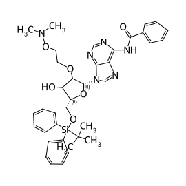 CN(C)OCCOC1C(O)[C@@H](CO[Si](c2ccccc2)(c2ccccc2)C(C)(C)C)O[C@H]1n1cnc2c(NC(=O)c3ccccc3)ncnc21